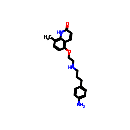 Cc1ccc(OCCNCCCc2ccc(N)cc2)c2ccc(=O)[nH]c12